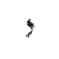 Cc1cccc(N2CCN(CCCCCn3cnc4c3c(=O)n(C)c(=O)n4C)CC2)c1